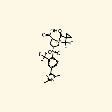 Cc1nc(C)c(-c2ccc(S(=O)(=O)[C@@H]3C[C@@H](C(=O)O)N(C(=O)C4(C(F)(F)F)CC4)C3)c(C(F)(F)F)c2)s1